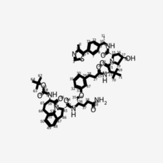 Cc1ncsc1-c1ccc([C@H](C)NC(=O)[C@@H]2C[C@@H](O)CN2C(=O)[C@@H](NC(=O)CCc2cccc(OC[C@H](CCC(N)=O)NC(=O)[C@@H]3Cc4cccc5c4N3C(=O)[C@@H](NC(=O)OC(C)(C)C)CC5)c2)C(C)(C)C)cc1